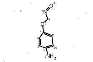 Nc1ccc(OCN=O)cc1